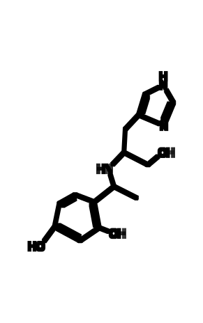 CC(NC(CO)Cc1c[nH]cn1)c1ccc(O)cc1O